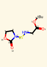 CC(C)(C)OC(=O)CNSN1CCOC1=O